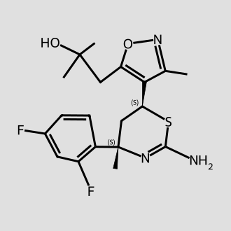 Cc1noc(CC(C)(C)O)c1[C@@H]1C[C@@](C)(c2ccc(F)cc2F)N=C(N)S1